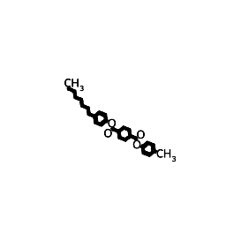 CCCCCCCCc1ccc(OC(=O)C2CCC(C(=O)Oc3ccc(C)cc3)CC2)cc1